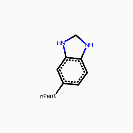 CCCCCc1ccc2c(c1)NCN2